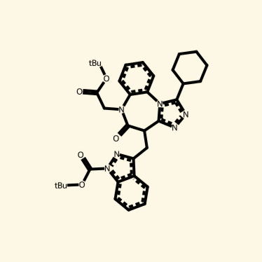 CC(C)(C)OC(=O)CN1C(=O)C(Cc2nn(C(=O)OC(C)(C)C)c3ccccc23)c2nnc(C3CCCCC3)n2-c2ccccc21